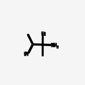 CCC(C)(N)C(C)C(C)C